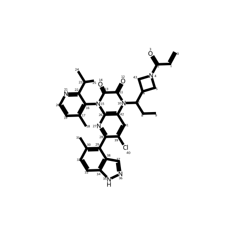 C=CC(=O)N1CC(C(CC)n2c(=O)c(=O)n(-c3c(C)ccnc3C(C)C)c3nc(-c4c(C)ccc5[nH]ncc45)c(Cl)cc32)C1